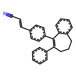 N#C/C=C/c1ccc(C2=C(c3ccccc3)CCCc3ccccc32)cc1